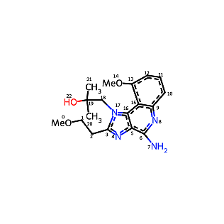 COCCc1nc2c(N)nc3cccc(OC)c3c2n1CC(C)(C)O